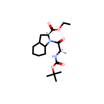 CCOC(=O)[C@@H]1CC2CCCCC2N1C(=O)[C@H](C)NC(=O)OC(C)(C)C